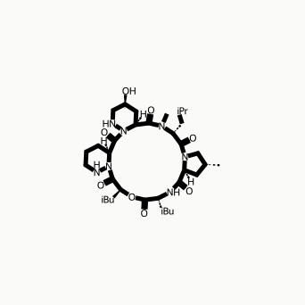 CCC(C)[C@@H]1OC(=O)[C@@H](C(C)CC)NC(=O)[C@@H]2C[C@@H](C)CN2C(=O)[C@@H](CC(C)C)N(C)C(=O)[C@@H]2C[C@H](O)CNN2C(=O)[C@@H]2CCCNN2C1=O